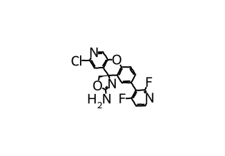 NC1=N[C@@]2(CO1)c1cc(-c3c(F)ccnc3F)ccc1Oc1cnc(Cl)cc12